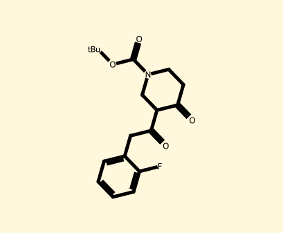 CC(C)(C)OC(=O)N1CCC(=O)C(C(=O)Cc2ccccc2F)C1